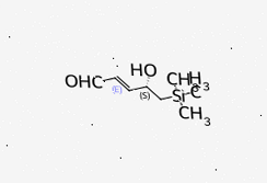 C[Si](C)(C)C[C@@H](O)/C=C/C=O